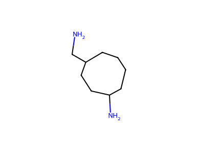 NCC1CCCCC(N)CC1